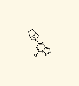 Clc1cc(N2CC3CCC(C2)O3)nc2ccnn12